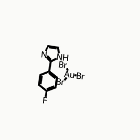 Fc1ccc(-c2ncc[nH]2)cc1.[Br][Au]([Br])[Br]